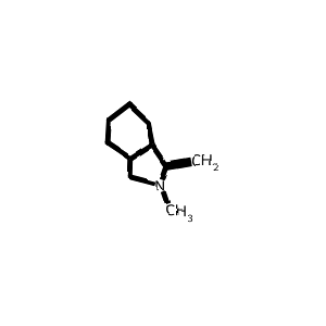 C=C1C2CCCCC2CN1C